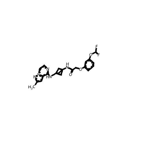 Cc1cc2c(NC34CC(NC(=O)COc5cccc(OC(F)F)c5)(C3)C4)nccn2n1